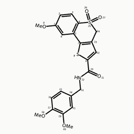 COc1ccc2c(c1)-c1sc(C(=O)NCc3ccc(OC)c(OC)c3)cc1CS2(=O)=O